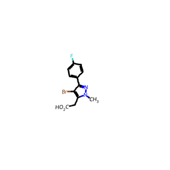 Cn1nc(-c2ccc(F)cc2)c(Br)c1CC(=O)O